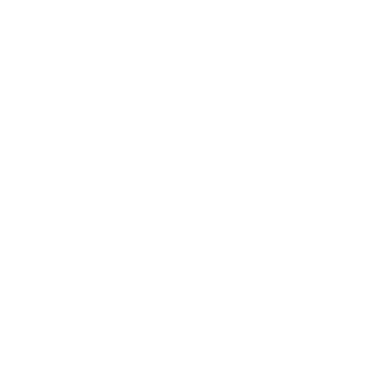 [O]c1cccc2ccc3c4ccccc4c4ccccc4c3c12